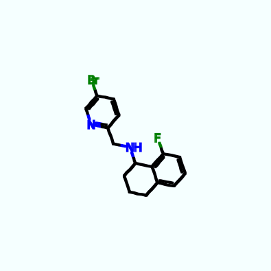 Fc1cccc2c1C(NCc1ccc(Br)cn1)CCC2